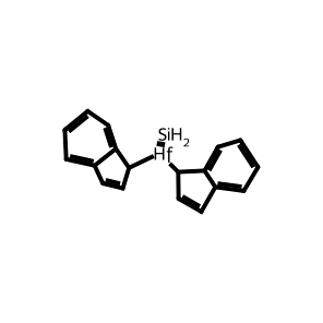 [SiH2]=[Hf]([CH]1C=Cc2ccccc21)[CH]1C=Cc2ccccc21